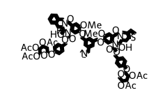 COc1cc2c(cc1OCc1cc(COc3cc4c(cc3OC)C(=O)N3Cc5ccccc5C[C@H]3C(O)N4C(=O)OCc3ccc(O[C@H]4C[C@@H](OC(C)=O)[C@@H](OC(C)=O)[C@@H](OC(C)=O)O4)cc3)cc(CN(C)C)c1)N(C(=O)OCc1ccc(O[C@@H]3OC[C@H](OC(C)=O)C[C@H]3OC(C)=O)cc1)C(O)C1Cc3sccc3CN1C2=O